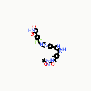 Cc1cc(-c2n[nH]c3ncc(-c4ccc(N5CCN(CC(F)(F)c6ccc(C7CCC(=O)NC7=O)cc6)CC5)cc4)cc23)ccc1C(C)NC(=O)c1noc(C(C)(C)C)n1